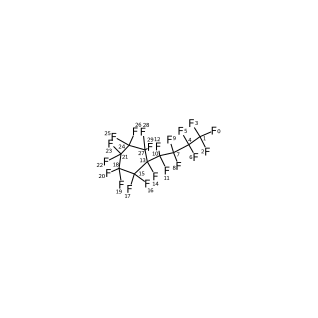 FC(F)(F)C(F)(F)C(F)(F)C(F)(F)C1(F)C(F)(F)C(F)(F)C(F)(F)C(F)(F)C1(F)F